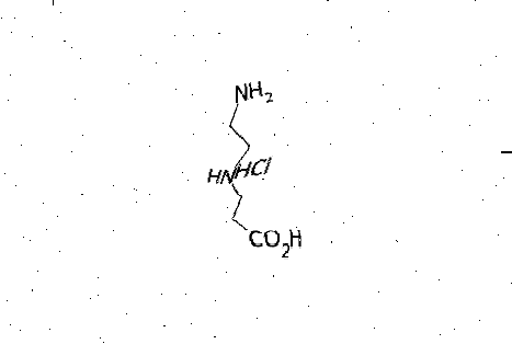 Cl.NCCNCCC(=O)O